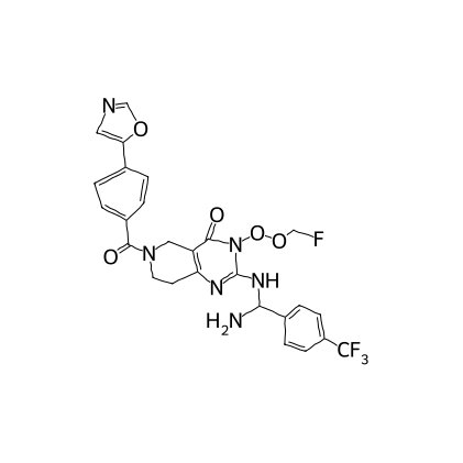 NC(Nc1nc2c(c(=O)n1OOCF)CN(C(=O)c1ccc(-c3cnco3)cc1)CC2)c1ccc(C(F)(F)F)cc1